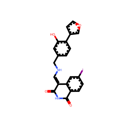 O=C1NC(=O)c2ccc(I)cc2/C1=C\NCc1ccc(-c2ccoc2)c(O)c1